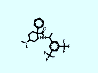 CC(NC(=O)C1(c2ccccc2)CCC(N(C)C)CC1)c1cc(C(F)(F)F)cc(C(F)(F)F)c1